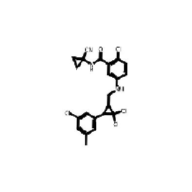 Cc1cc(Cl)cc(C2C(CNc3ccc(Cl)c(C(=O)NC4(C#N)CC4)c3)C2(Cl)Cl)c1